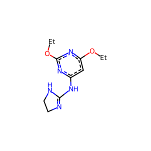 CCOc1cc(NC2=NCCN2)nc(OCC)n1